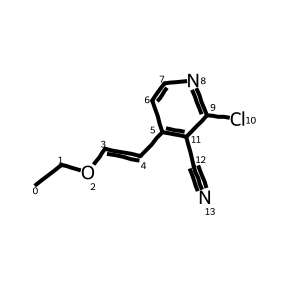 CCOC=Cc1ccnc(Cl)c1C#N